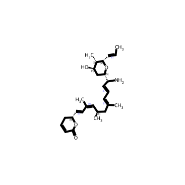 C/C=C/[C@@H]1O[C@H](C(N)/C=C/C=C(\C)C[C@@H](C)/C=C(C)\C=C\[C@H]2CC=CC(=O)O2)C[C@@H](O)[C@@H]1C